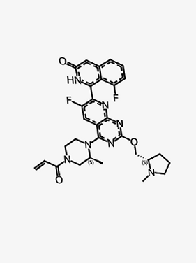 C=CC(=O)N1CCN(c2nc(OC[C@@H]3CCCN3C)nc3nc(-c4[nH]c(=O)cc5cccc(F)c45)c(F)cc23)[C@@H](C)C1